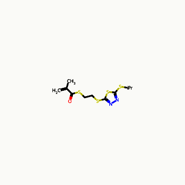 C=C(C)C(=O)SCCSc1nnc(SC(C)C)s1